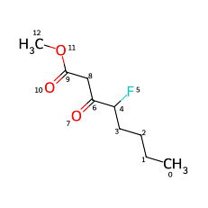 CCCCC(F)C(=O)CC(=O)OC